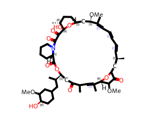 COC1CC(CC(C)[C@@H]2CC(=O)C(C)/C=C(\C)[C@H]3OC(C[C@H](C)/C=C/C=C/C=C(\C)[C@@H](OC)C[C@@H]4CC[C@@H](C)[C@@](O)(O4)C(=O)C(=O)N4CCCC[C@H]4C(=O)O2)C(=O)C3OC)CC[C@H]1O